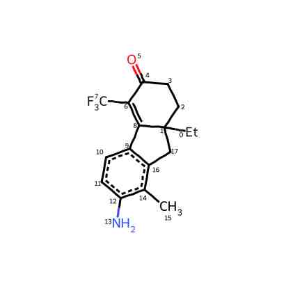 CCC12CCC(=O)C(C(F)(F)F)=C1c1ccc(N)c(C)c1C2